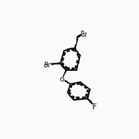 Fc1ccc(Oc2ccc(CBr)cc2Br)cc1